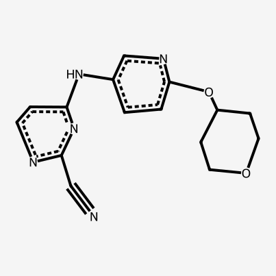 N#Cc1nccc(Nc2ccc(OC3CCOCC3)nc2)n1